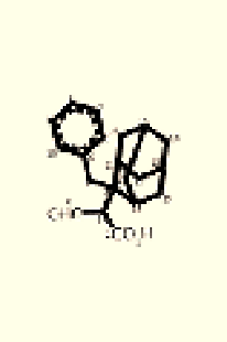 O=CC(C(=O)O)C1(Cc2ccccc2)C2CC3CC(C2)CC1C3